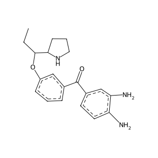 CCC(Oc1cccc(C(=O)c2ccc(N)c(N)c2)c1)C1CCCN1